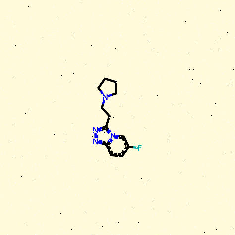 Fc1ccc2nnc(CCN3CCCC3)n2c1